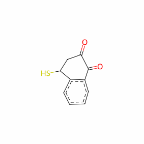 O=C1CC(S)c2ccccc2C1=O